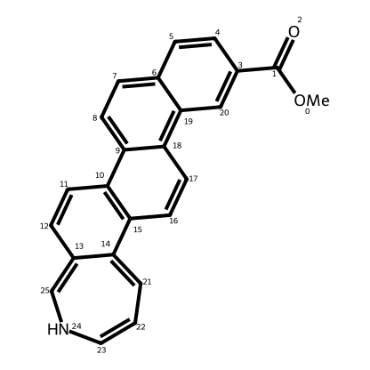 COC(=O)c1ccc2ccc3c4ccc5c(c4ccc3c2c1)=CC=CNC=5